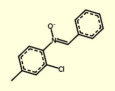 Cc1ccc([N+]([O-])=Cc2ccccc2)c(Cl)c1